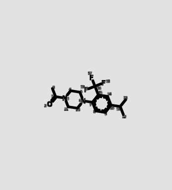 CC(=O)N1CCN(c2ccc(C(C)C)cc2C(F)(F)F)CC1